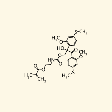 C=C(C)C(=O)OCCNC(=O)OCC(O)(C(=O)c1ccc(SC)cc1OC)c1ccc(SC)cc1OC